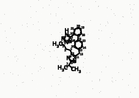 CCCCn1nc(C(C)C)nc1Cc1ccc(-c2ccccc2-c2nnn[nH]2)cc1